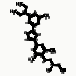 CCN(CC)c1nc(C)cc(-c2nc(-c3cc(C)c(OC[C@@H](O)CO)c(C)c3)no2)n1